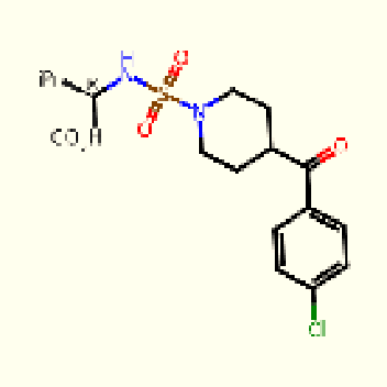 CC(C)[C@@H](NS(=O)(=O)N1CCC(C(=O)c2ccc(Cl)cc2)CC1)C(=O)O